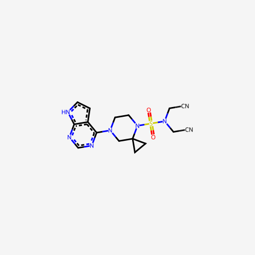 N#CCN(CC#N)S(=O)(=O)N1CCN(c2ncnc3[nH]ccc23)CC12CC2